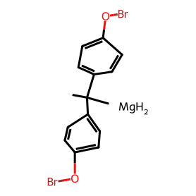 CC(C)(c1ccc(OBr)cc1)c1ccc(OBr)cc1.[MgH2]